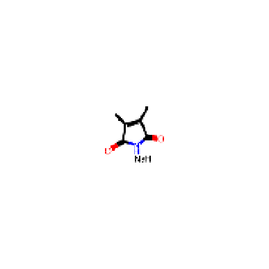 CC1=C(C)C(=O)NC1=O.[NaH]